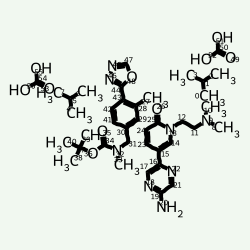 CC(C)C.CC(C)C.CN(C)CCn1cc(-c2cnc(N)cn2)ccc1=O.Cc1cc(CN(C)C(=O)OC(C)(C)C)ccc1-c1nnco1.O=C(O)O.O=C(O)O